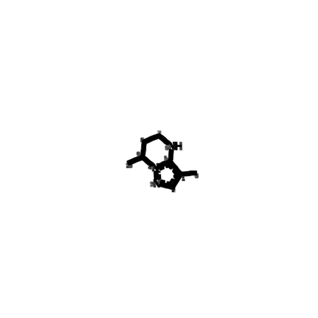 Cc1cnn2c1NCCC2C